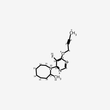 CC#CCOc1ncnc(N2CCCCCCC2C)c1F